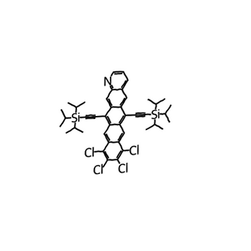 CC(C)[Si](C#Cc1c2cc3cccnc3cc2c(C#C[Si](C(C)C)(C(C)C)C(C)C)c2cc3c(Cl)c(Cl)c(Cl)c(Cl)c3cc12)(C(C)C)C(C)C